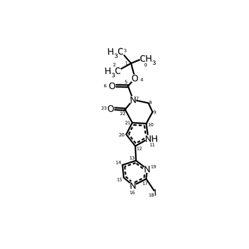 CC(C)(C)OC(=O)N1CCc2[nH]c(-c3ccnc(I)n3)cc2C1=O